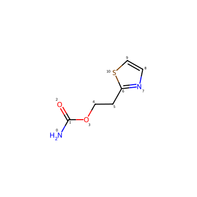 NC(=O)OCCc1nccs1